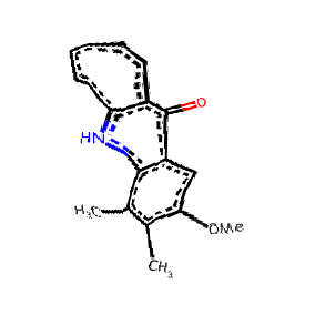 COc1cc2c(=O)c3ccccc3[nH]c2c(C)c1C